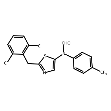 O=CN(c1ccc(C(F)(F)F)cc1)c1cnc(Cc2c(Cl)cccc2Cl)s1